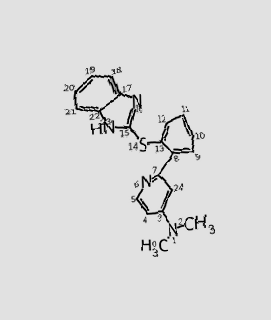 CN(C)c1ccnc(-c2ccccc2Sc2nc3ccccc3[nH]2)c1